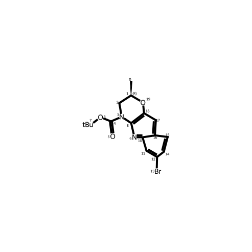 C[C@@H]1CN(C(=O)OC(C)(C)C)c2nc3cc(Br)ccc3cc2O1